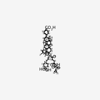 C=C(C)[C@@H]1CC[C@]2(CN(CCCN3CCS(O)(O)CC3)C(=O)CCC(=O)NS(=O)(=O)C3CC3)CC[C@]3(C)[C@H](CC[C@@H]4[C@@]5(C)CC=C(c6ccc(C(=O)O)cc6)C(C)(C)[C@@H]5CC[C@]43C)[C@@H]12